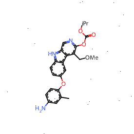 COCc1c(OC(=O)OC(C)C)ncc2[nH]c3ccc(Oc4ccc(N)cc4C)cc3c12